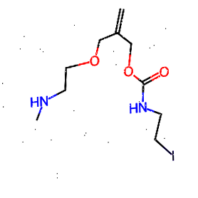 C=C(COCCNC)COC(=O)NCCI